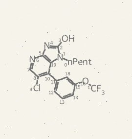 CCCCCn1c(O)nc2ncc(Cl)c(-c3cccc(OC(F)(F)F)c3)c21